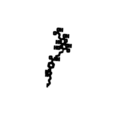 O=C(O)CC[C@H](NC(=S)N(O)[C@@H](CCCCNC(=O)c1ccc(-n2cc(CCCF)nn2)cc1)C(=O)O)C(=O)O